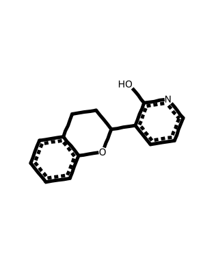 Oc1ncccc1C1CCc2ccccc2O1